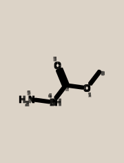 COC(=O)BN